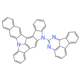 c1ccc2c(c1)-c1cccc3nc(-n4c5ccccc5c5c6c7cc8ccccc8cc7n7c8ccccc8c(cc54)c67)nc-2c13